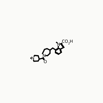 CN1CCC(C(=O)N2CCCC(Cc3cccc4cc(C(=O)O)n(C)c34)CC2)CC1